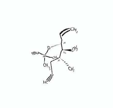 C#CC[C@@H](C)[C@H](C)[C@@H](C=C)O[Si](C)(C)C(C)(C)C